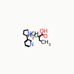 CCC(C)C(=O)O.CN1CCCC1c1cccnc1